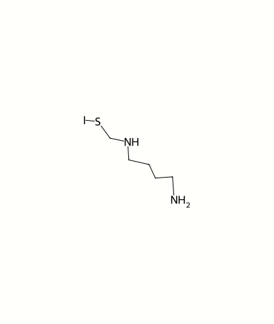 NCCCCNCSI